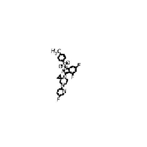 Cc1ccc(S(=O)(=O)n2nc(N3CCN(c4ccc(F)cn4)CC34CC4)c3c(F)cc(F)cc32)cc1